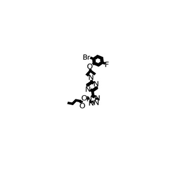 CCCC(=O)On1nnnc1-c1cnc(N2CC(Oc3cc(F)ccc3Br)C2)cn1